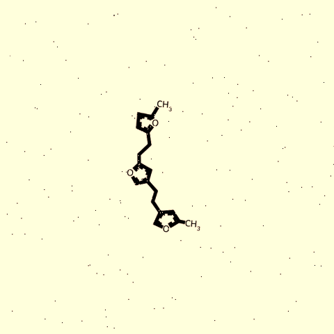 Cc1cc(CCc2coc(CCc3ccc(C)o3)c2)co1